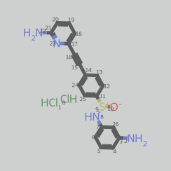 Cl.Cl.Nc1cccc(N[S+]([O-])c2ccc(C#Cc3cccc(N)n3)cc2)c1